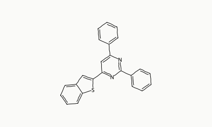 c1ccc(-c2cc(-c3cc4ccccc4s3)nc(-c3ccccc3)n2)cc1